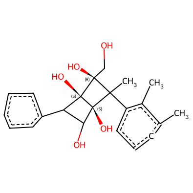 Cc1cccc(C2(C)[C@]3(O)C(O)C(c4ccccc4)[C@]3(O)[C@]2(O)CO)c1C